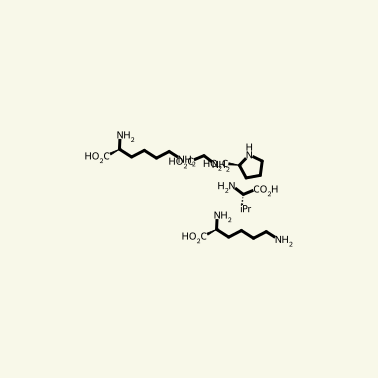 CC(C)[C@H](N)C(=O)O.NCC(=O)O.NCCCC[C@H](N)C(=O)O.NCCCC[C@H](N)C(=O)O.O=C(O)[C@@H]1CCCN1